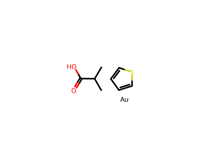 CC(C)C(=O)O.[Au].c1ccsc1